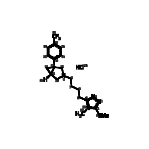 CSc1nnc(CCCCN2C[C@@H]3C[C@]3(c3ccc(C(F)(F)F)cc3)C2)n1C.Cl